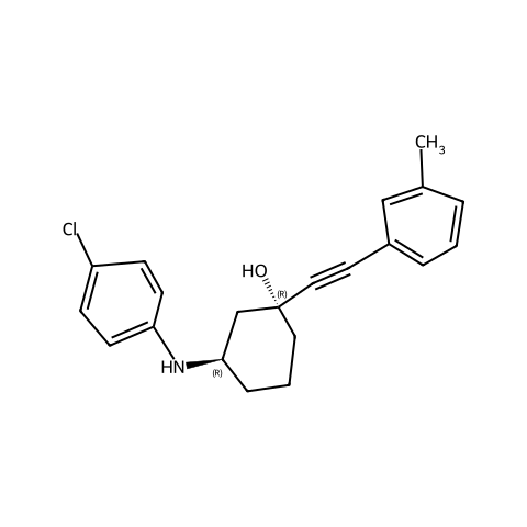 Cc1cccc(C#C[C@@]2(O)CCC[C@@H](Nc3ccc(Cl)cc3)C2)c1